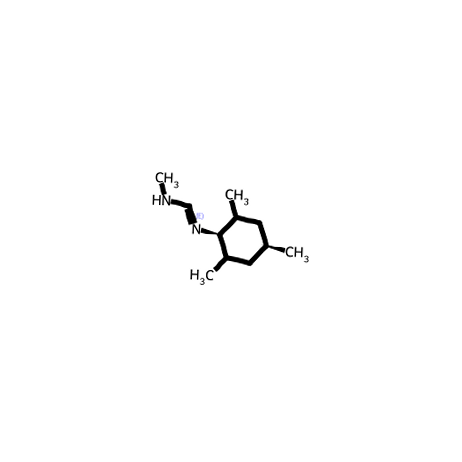 CN/C=N/[C@H]1C(C)C[C@@H](C)CC1C